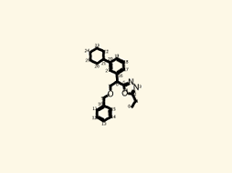 CCc1nnc(C(COCc2ccccc2)c2cccc(C3CCCCC3)c2)o1